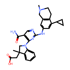 CN1CCc2c(cc(Nc3ncc(C(N)=O)c(N4CC(C)(CC(=O)O)c5ccccc54)n3)cc2C2CC2)C1